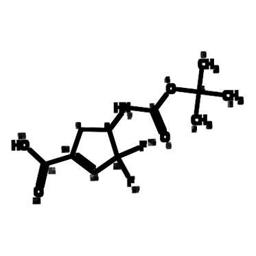 CC(C)(C)OC(=O)NC1CC(C(=O)O)=CC1(F)F